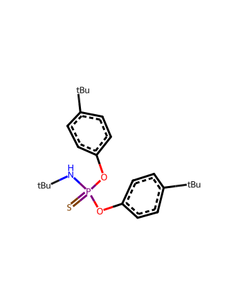 CC(C)(C)NP(=S)(Oc1ccc(C(C)(C)C)cc1)Oc1ccc(C(C)(C)C)cc1